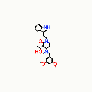 COc1cc(CN(C)[C@H]2CCN(CCc3c[nH]c4ccccc34)C(=O)[C@H]2C(C)O)cc(OC)c1